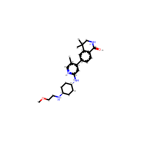 COCCN[C@H]1CC[C@H](Nc2cc(-c3ccc4c(c3)C(C)(C)CNC4=O)c(C)cn2)CC1